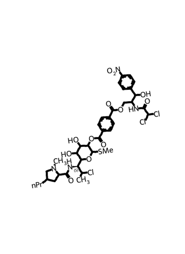 CCCC1CC(C(=O)N[C@H](C(C)Cl)C2OC(SC)C(OC(=O)c3ccc(C(=O)OCC(NC(=O)C(Cl)Cl)C(O)c4ccc([N+](=O)[O-])cc4)cc3)C(O)C2O)N(C)C1